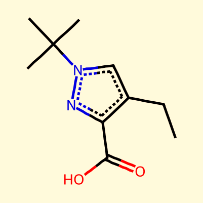 CCc1cn(C(C)(C)C)nc1C(=O)O